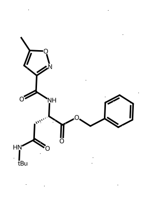 Cc1cc(C(=O)N[C@@H](CC(=O)NC(C)(C)C)C(=O)OCc2ccccc2)no1